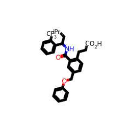 CC(C)CC(NC(=O)c1cc(COc2ccccc2)ccc1CCC(=O)O)c1ccccc1C(F)(F)F